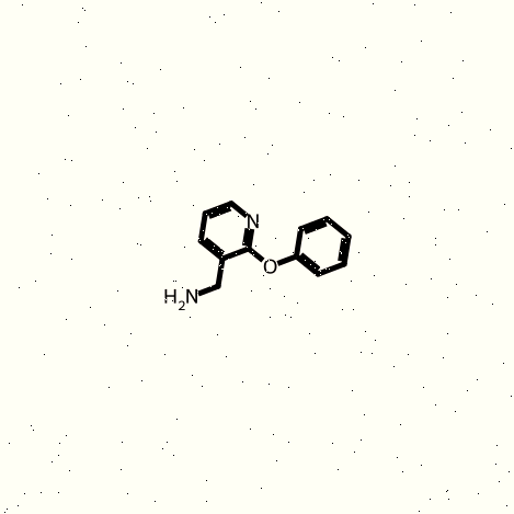 NCc1cccnc1Oc1ccccc1